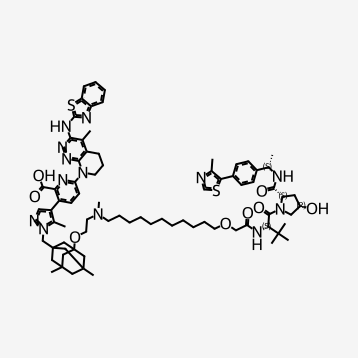 Cc1ncsc1-c1ccc([C@H](C)NC(=O)[C@@H]2C[C@@H](O)CN2C(=O)[C@@H](NC(=O)COCCCCCCCCCCCN(C)CCOC23CC4(C)CC(C)(CC(Cn5ncc(-c6ccc(N7CCCc8c7nnc(Nc7nc9ccccc9s7)c8C)nc6C(=O)O)c5C)(C4)C2)C3)C(C)(C)C)cc1